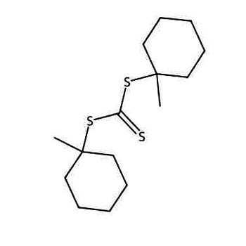 CC1(SC(=S)SC2(C)CCCCC2)CCCCC1